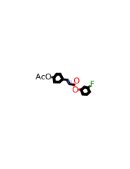 CC(=O)Oc1ccc(/C=C/C(=O)Oc2cccc(F)c2)cc1